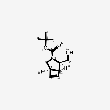 CC(C)(C)OC(=O)N1C[C@@H]2C=C[C@@H]2[C@@H]1CO